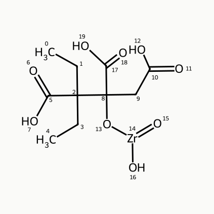 CCC(CC)(C(=O)O)C(CC(=O)O)([O][Zr](=[O])[OH])C(=O)O